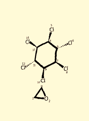 C1CO1.Cl[C@H]1[C@H](Cl)[C@@H](Cl)[C@@H](Cl)[C@H](Cl)[C@H]1Cl